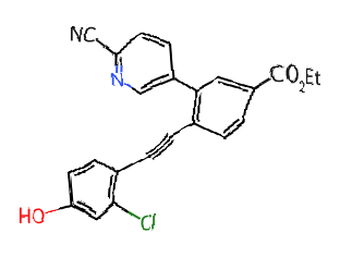 CCOC(=O)c1ccc(C#Cc2ccc(O)cc2Cl)c(-c2ccc(C#N)nc2)c1